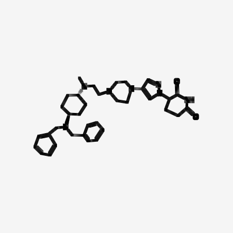 CN(CCN1CCN(c2cnn(C3CCC(=O)NC3=O)c2)CC1)[C@H]1CC[C@H](N(Cc2ccccc2)Cc2ccccc2)CC1